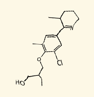 Cc1cc(C2=NCCCC2C)cc(Cl)c1OCC(C)CO